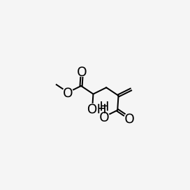 C=C(CC(O)C(=O)OC)C(=O)O